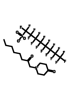 CCCCCCC(=O)C[S+]1CCC(=O)CC1.O=S(=O)([O-])C(F)(F)C(F)(F)C(F)(F)C(F)(F)C(F)(F)C(F)(F)C(F)(F)C(F)(F)F